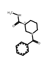 CNC(=O)[C@H]1CCCN(C(=O)c2ccccc2)C1